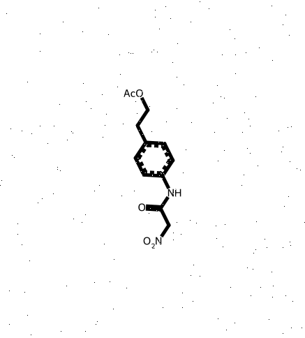 CC(=O)OCCc1ccc(NC(=O)C[N+](=O)[O-])cc1